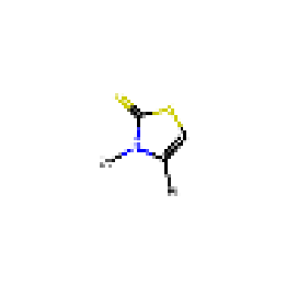 CCc1csc(=S)n1CC